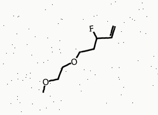 C=CC(F)CCOCCOC